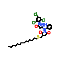 CCCCCCCCCCCCCCSCC1CC(=O)N(N(c2ccccc2)c2cc(=O)n(-c3c(Cl)cc(Cl)cc3Cl)[nH]2)C1=O